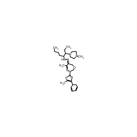 CCCCC(N/N=C1/COCN(c2nc(C3C=CC=CC3)c(C)s2)N=C1C)C(CC)N1CCN(C)CC1